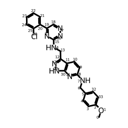 COc1ccc(CNc2ccc3c(CNc4nncc(-c5ccccc5Cl)n4)n[nH]c3n2)cc1